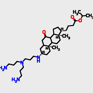 CC(C)OC(=O)CCC[C@H]1CCC2C3C(=O)CC4C[C@@H](NCCCN(CCCN)CCCN)CC[C@]4(C)C3CC[C@@]21C